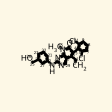 C=Cc1c(-c2c(Cl)cccc2Cl)c(=O)n(C)c2nc(Nc3cccc(CO)c3)ncc12